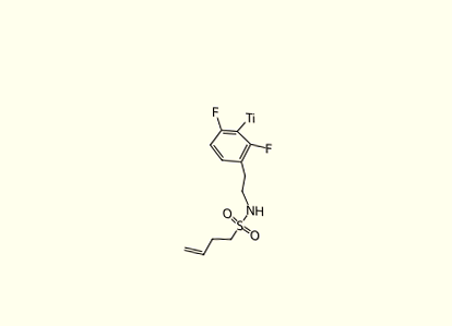 C=CCCS(=O)(=O)NCCc1ccc(F)[c]([Ti])c1F